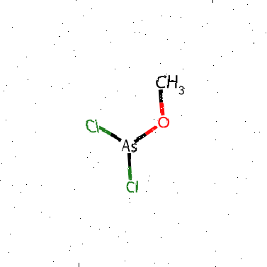 CO[As](Cl)Cl